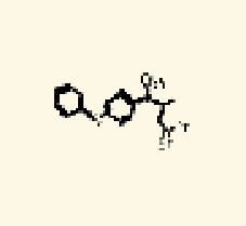 CCN(CC)CC(C)C(O)c1ccc(Sc2ccccc2)cc1